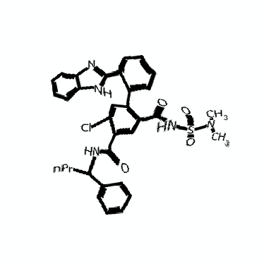 CCCC(NC(=O)c1cc(C(=O)NS(=O)(=O)N(C)C)c(-c2ccccc2-c2nc3ccccc3[nH]2)cc1Cl)c1ccccc1